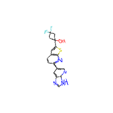 OC1(c2cc3ccc(-c4cnc5[nH]cnc5c4)nc3s2)CC(F)(F)C1